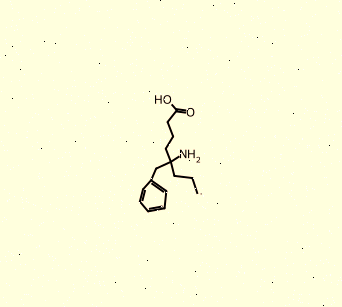 [CH2]CCC(N)(CCCC(=O)O)Cc1ccccc1